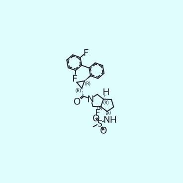 CS(=O)(=O)N[C@H]1CC[C@@H]2CN(C(=O)[C@@H]3C[C@H]3c3ccccc3-c3c(F)cccc3F)C[C@@]21F